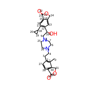 Cc1c(CCN2CCN(CC(O)c3cc4c(cc3C3CC3)C(=O)OC4)CC2)ccc2c1COC2=O